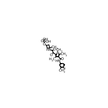 Cc1cc(NC(=O)c2c(C)c(C(=O)C(=O)NC3(C)CC(OP(=O)(O)O)C3)n(C)c2C)ccc1F